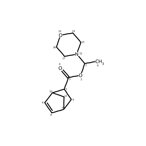 CC(OC(=O)C1CC2C=CC1C2)N1CCOCC1